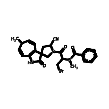 CC1C=CC2=C(C=C1)C1(CC(C#N)N(C(=O)C(CC(C)C)N(C)C(=O)c3ccccc3)C1)C(=O)N2